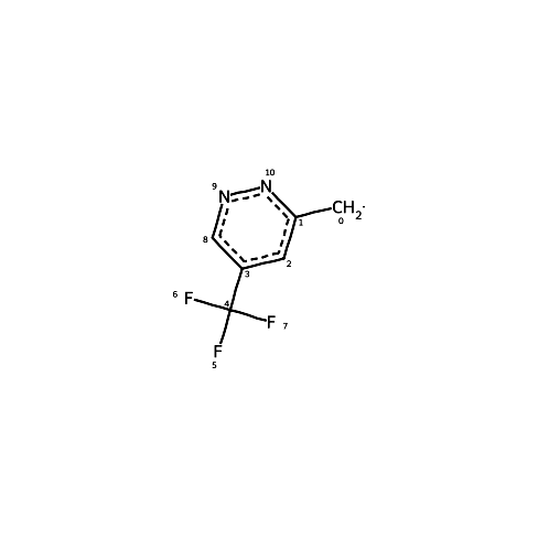 [CH2]c1cc(C(F)(F)F)cnn1